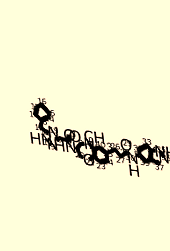 CN1C(=O)[C@H](NC(=O)c2n[nH]c(Cc3ccccc3)n2)COc2ccc(CCC(=O)Nc3ccc4[nH]ncc4c3)cc21